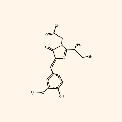 COc1cc(/C=C2\N=C([C@@H](N)CS)N(CC(=O)O)C2=O)ccc1O